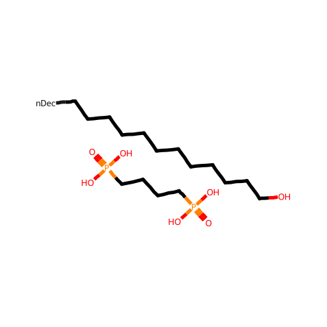 CCCCCCCCCCCCCCCCCCCCCCO.O=P(O)(O)CCCCP(=O)(O)O